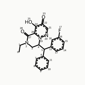 CCN1CC(C(c2ccccc2)c2cccc(F)c2)n2ncc(=O)c(O)c2C1=O